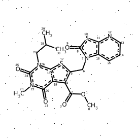 COC(=O)c1c(Cn2c(=O)sc3ncccc32)sc2c1c(=O)n(C)c(=O)n2CC(C)C